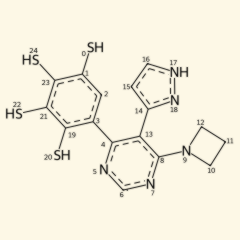 Sc1cc(-c2n[c]nc(N3CCC3)c2-c2cc[nH]n2)c(S)c(S)c1S